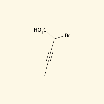 CC#CC(Br)C(=O)O